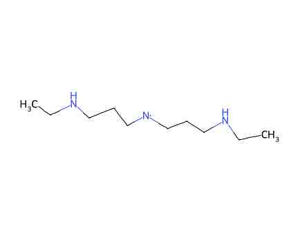 CCNCCC[N]CCCNCC